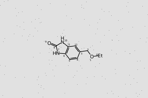 CCOCc1ccc2[nH]c(=O)[nH]c2c1